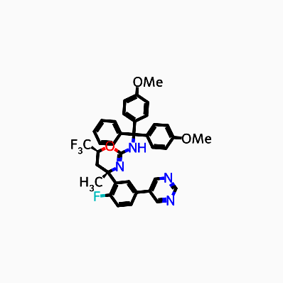 COc1ccc(C(NC2=N[C@](C)(c3cc(-c4cncnc4)ccc3F)C[C@@H](C(F)(F)F)O2)(c2ccccc2)c2ccc(OC)cc2)cc1